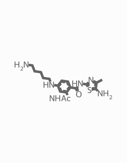 CC(=O)Nc1cc(NCCCCCN)ccc1C(=O)Nc1nc(C)c(N)s1